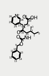 CC[C@H](C)[C@H](NC(=O)OCc1ccccc1)C(=O)N(CC(=O)O)c1cccnc1